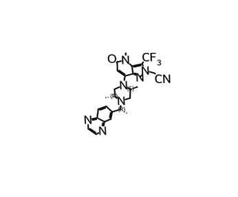 C[C@@H]1CN(c2cc(=O)n(C)c3c(C(F)(F)F)n(CC#N)nc23)[C@@H](C)CN1[C@H](C)c1ccc2nccnc2c1